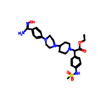 CCOC(=O)C(c1ccc(NS(C)(=O)=O)cc1)N1CCC(N2CCN(c3ccc(/C(N)=N\O)cc3)CC2)CC1